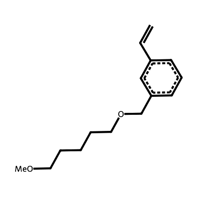 C=Cc1cccc(COCCCCCOC)c1